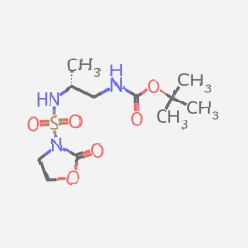 C[C@H](CNC(=O)OC(C)(C)C)NS(=O)(=O)N1CCOC1=O